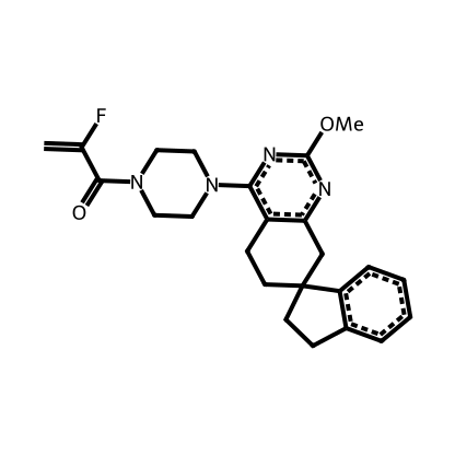 C=C(F)C(=O)N1CCN(c2nc(OC)nc3c2CCC2(CCc4ccccc42)C3)CC1